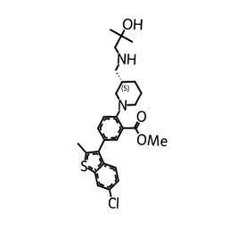 COC(=O)c1cc(-c2c(C)sc3cc(Cl)ccc23)ccc1N1CCC[C@@H](CNCC(C)(C)O)C1